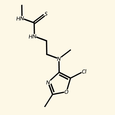 CNC(=S)NCCN(C)c1nc(C)oc1Cl